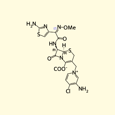 CO/N=C(\C(=O)N[C@@H]1C(=O)N2C(C(=O)[O-])=C(C[n+]3ccc(Cl)c(N)c3)CS[C@H]12)c1csc(N)n1